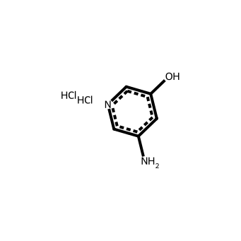 Cl.Cl.Nc1cncc(O)c1